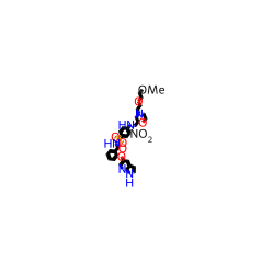 COCCOCCN1CCOC(CNc2ccc(S(=O)(=O)NC(=O)c3ccccc3Oc3cnc4[nH]ccc4c3)cc2[N+](=O)[O-])C1